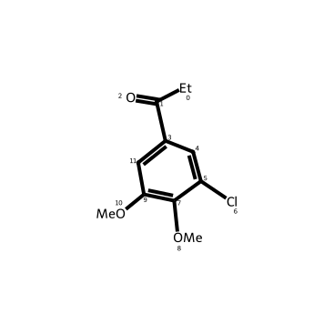 CCC(=O)c1cc(Cl)c(OC)c(OC)c1